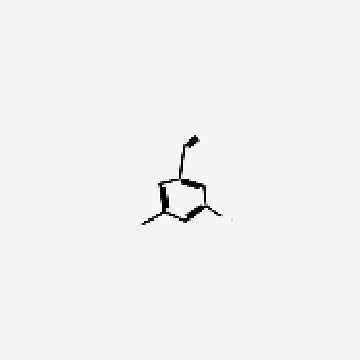 C=[C]c1cc(C#N)cc(C(C)(C)C)c1